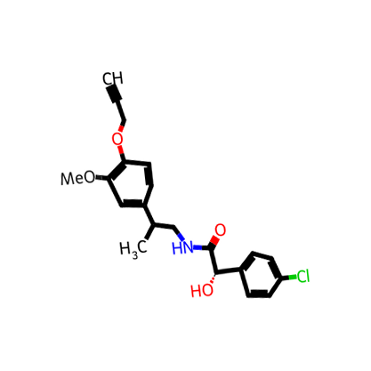 C#CCOc1ccc(C(C)CNC(=O)[C@@H](O)c2ccc(Cl)cc2)cc1OC